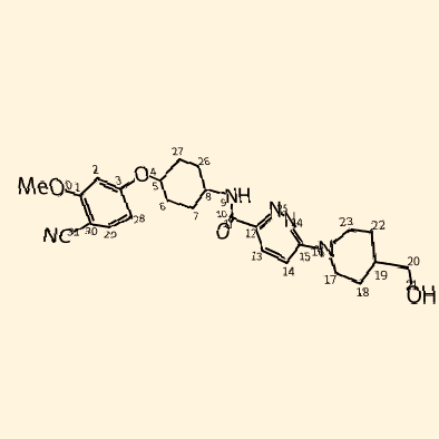 COc1cc(OC2CCC(NC(=O)c3ccc(N4CCC(CO)CC4)nn3)CC2)ccc1C#N